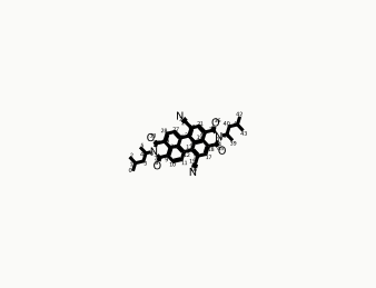 CC(C)CC(C)N1C(=O)c2ccc3c4c(C#N)cc5c6c(cc(C#N)c(c7ccc(c2c37)C1=O)c64)C(=O)N(C(C)CC(C)C)C5=O